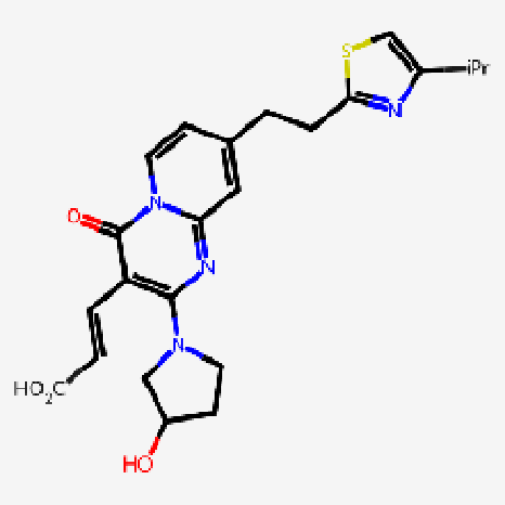 CC(C)c1csc(CCc2ccn3c(=O)c(C=CC(=O)O)c(N4CCC(O)C4)nc3c2)n1